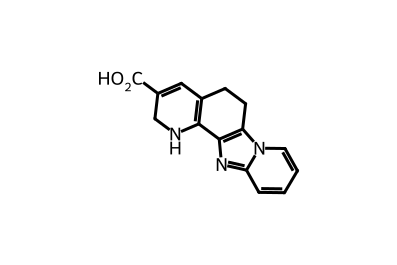 O=C(O)C1=CC2=C(NC1)c1nc3ccccn3c1CC2